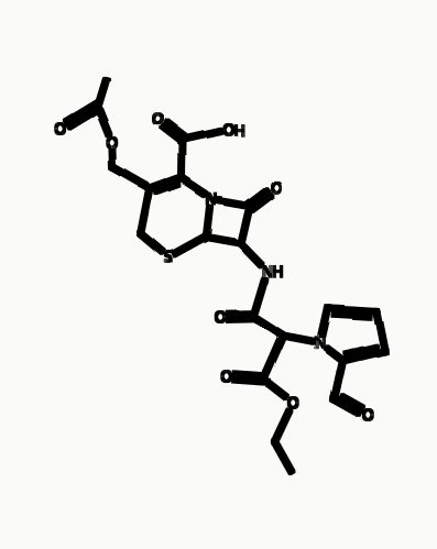 CCOC(=O)C(C(=O)NC1C(=O)N2C(C(=O)O)=C(COC(C)=O)CSC12)n1cccc1C=O